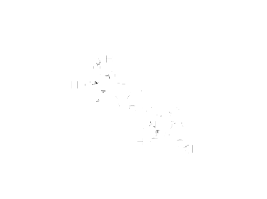 COC(=O)[C@H](C)[C@H](c1ccc2c(c1F)OC1(CC2)CCN([C@H](C)c2cc(Cl)ccc2OC(F)F)CC1)C1CC1